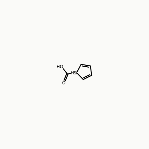 O=C(O)[SiH]1C=CC=C1